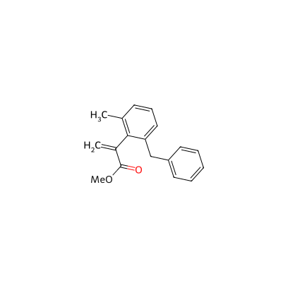 C=C(C(=O)OC)c1c(C)cccc1Cc1ccccc1